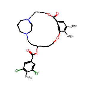 COc1cc2cc(c1OC)OCCCC(OC(=O)c1cc(Cl)c(OC)c(Cl)c1)CCN1CCCN(CCCOC2=O)CC1